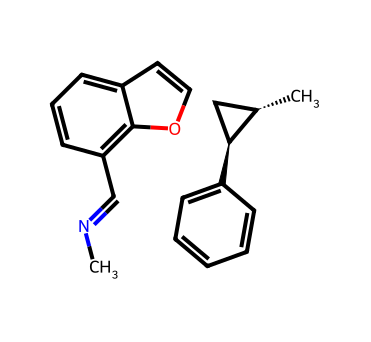 CN=Cc1cccc2ccoc12.C[C@H]1C[C@@H]1c1ccccc1